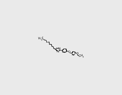 CCCCCCCCCCc1cnc(-c2ccc(OCc3ccc(OCC)cc3)cc2)nc1